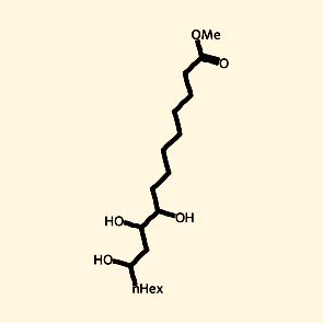 CCCCCCC(O)CC(O)C(O)CCCCCCCC(=O)OC